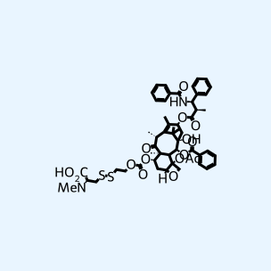 CN[C@@H](CSSCCOC(=O)O[C@H]1C[C@H]2OC[C@@]2(OC(C)=O)C2[C@H](OC(=O)c3ccccc3)[C@]3(O)C[C@H](OC(=O)[C@H](C)[C@@H](NC(=O)c4ccccc4)c4ccccc4)C(C)=C([C@@H](C)C(=O)[C@@]21C)C3(C)C)C(=O)O